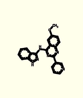 COc1ccc2nc(-c3cccnc3)nc(Nc3n[nH]c4ccccc34)c2c1